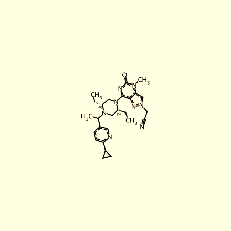 CC[C@H]1CN(C(C)c2ccc(C3CC3)nc2)[C@H](CC)CN1c1nc(=O)n(C)c2cn(CC#N)nc12